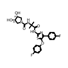 CC(C)(NC(=O)N1C[C@@H](O)[C@H](O)C1)C(=O)Nc1nc(-c2ccc(F)cc2)c(Oc2ccc(F)cc2)s1